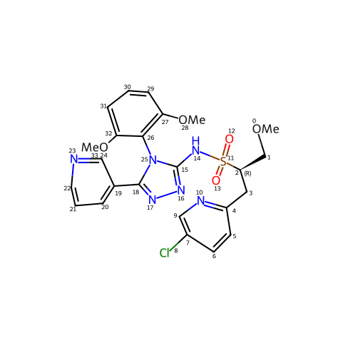 COC[C@@H](Cc1ccc(Cl)cn1)S(=O)(=O)Nc1nnc(-c2cccnc2)n1-c1c(OC)cccc1OC